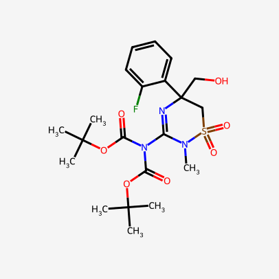 CN1C(N(C(=O)OC(C)(C)C)C(=O)OC(C)(C)C)=NC(CO)(c2ccccc2F)CS1(=O)=O